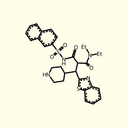 CCN(CC)C(=O)C(C(=O)NS(=O)(=O)c1ccc2ccccc2c1)C(c1nc2ccccc2s1)C1CCNCC1